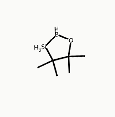 CC1(C)OB[SiH2]C1(C)C